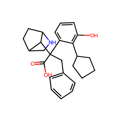 O=C(O)C(Cc1ccccc1)(c1cccc(O)c1C1CCCC1)C1C2CCC1NC2